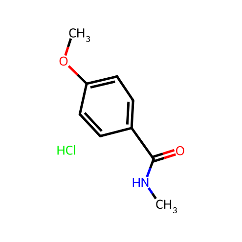 CNC(=O)c1ccc(OC)cc1.Cl